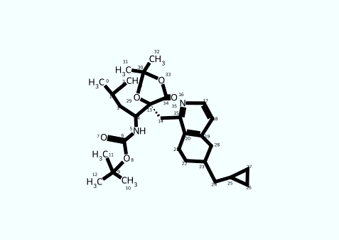 CC(C)CC(NC(=O)OC(C)(C)C)[C@@]1(Cc2nccc3c2CCC(CC2CC2)C3)OC(C)(C)OC1=O